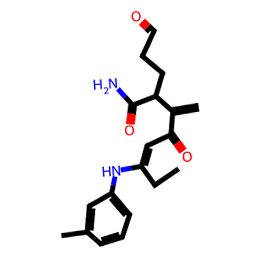 C=C(C(=O)/C=C(\CC)Nc1cccc(C)c1)C(CCC=O)C(N)=O